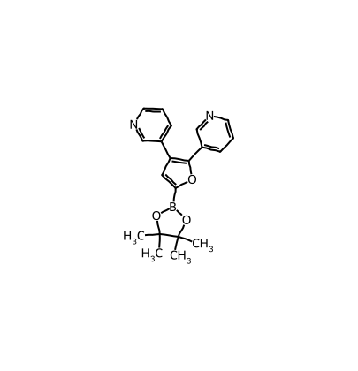 CC1(C)OB(c2cc(-c3cccnc3)c(-c3cccnc3)o2)OC1(C)C